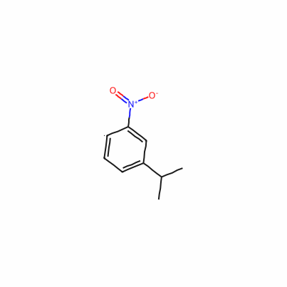 CC(C)c1cc[c]c([N+](=O)[O-])c1